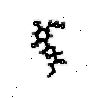 CCOC(=O)C1(C)CC(c2cc(N=C=O)c(Cl)cc2Cl)=NO1